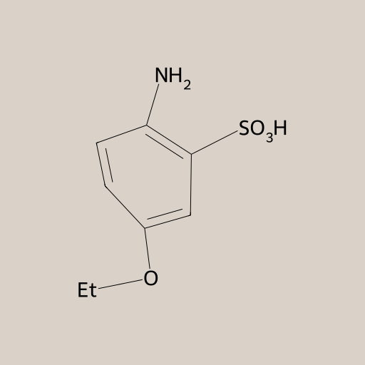 CCOc1ccc(N)c(S(=O)(=O)O)c1